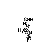 Cn1c(=O)n(Cc2ccc(-c3nnc(C(F)F)o3)cn2)c2cc(F)c(-c3ccc(CC4CNCCO4)nc3)cc21